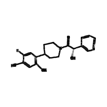 O=C([C@@H](O)c1ccccc1)N1CCC(c2cc(F)c(O)cc2O)CC1